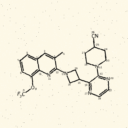 Cc1cc2cccc(OC(F)(F)F)c2nc1N1CC(c2nccnc2N2CCC(C#N)CC2)C1